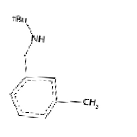 Cc1cccc(CNC(C)(C)C)c1